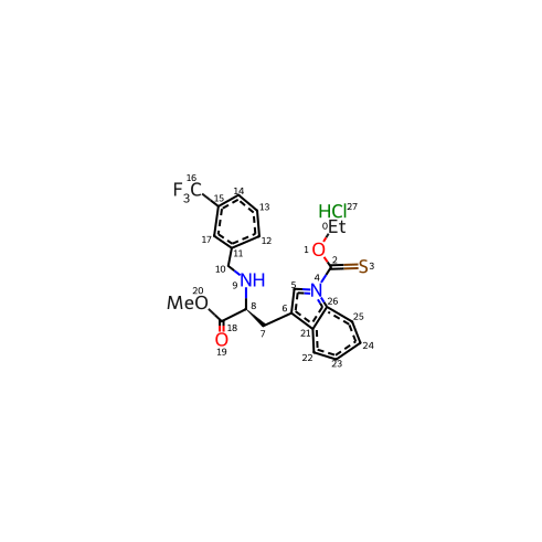 CCOC(=S)n1cc(C[C@H](NCc2cccc(C(F)(F)F)c2)C(=O)OC)c2ccccc21.Cl